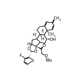 C=C1C=C[C@@]2(C)C(=C1)CC[C@H]1[C@@H]3C[C@H]4O[C@@H](c5sccc5F)O[C@@]4(C(=O)COC(C)(C)C)C3C[C@H](O)[C@@]12F